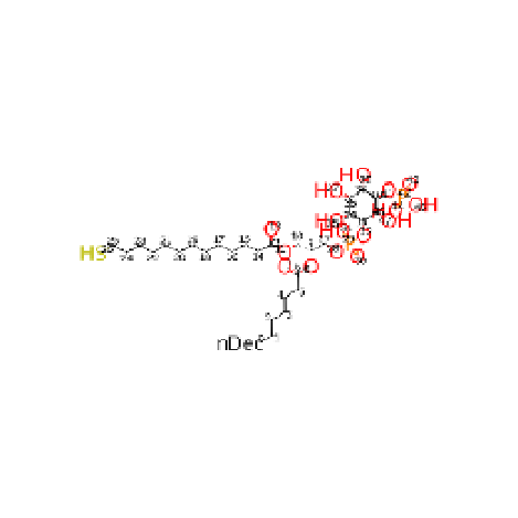 CCCCCCCCCCCCCCCC(=O)O[C@H](COC(=O)CCCCCCCCCCCCS)COP(=O)(O)OC1C(O)[C@@H](O)C(O)[C@@H](OP(=O)(O)O)[C@H]1O